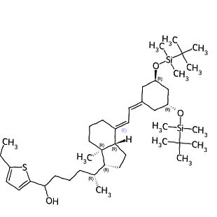 CCc1ccc(C(O)CCC[C@@H](C)[C@H]2CC[C@H]3/C(=C/C=C4C[C@@H](O[Si](C)(C)C(C)(C)C)C[C@H](O[Si](C)(C)C(C)(C)C)C4)CCC[C@]23C)s1